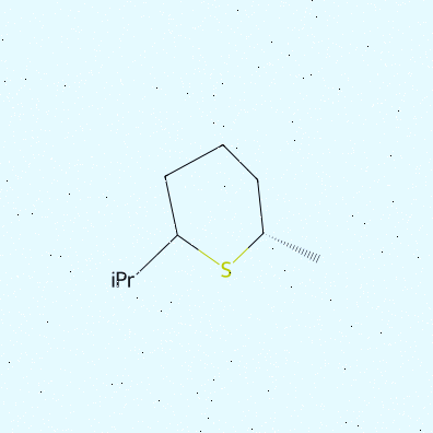 CC(C)C1CCC[C@H](C)S1